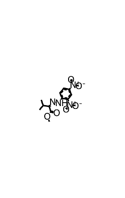 COC(=O)C(=NNc1ccc([N+](=O)[O-])cc1[N+](=O)[O-])C(C)C